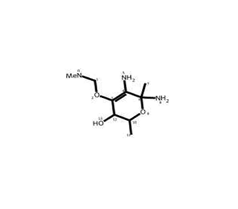 CNCOC1=C(N)C(C)(N)OC(C)C1O